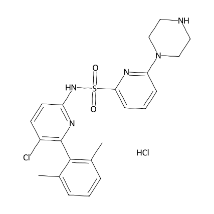 Cc1cccc(C)c1-c1nc(NS(=O)(=O)c2cccc(N3CCNCC3)n2)ccc1Cl.Cl